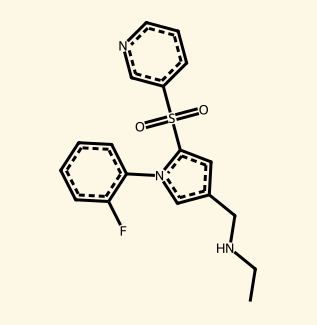 CCNCc1cc(S(=O)(=O)c2cccnc2)n(-c2ccccc2F)c1